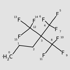 [CH2]CCC(C(F)(F)F)(C(F)(F)F)C(F)(F)F